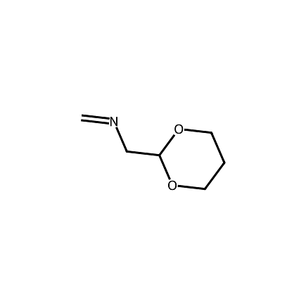 C=NCC1OCCCO1